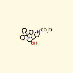 CCOC(=O)CN1CCC(C=C2CN(C(c3ccccc3)(c3ccccc3)c3ccccc3)CCC2O)CC1